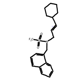 O=S(=O)(N(C/C=C/C1CCCCC1)Cc1cccc2ccccc12)C(F)(F)F